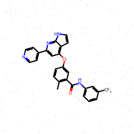 Cc1ccc(Oc2cc(-c3ccncc3)nc3[nH]ccc23)cc1C(=O)Nc1cccc(C(F)(F)F)c1